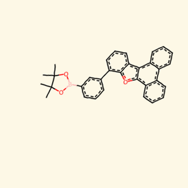 CC1(C)OB(c2cccc(-c3cccc4c3oc3c5ccccc5c5ccccc5c43)c2)OC1(C)C